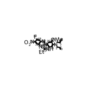 C=CCN(CC=C)c1cc(NC(=O)CC)c(/N=N/c2cc(F)c([N+](=O)[O-])cc2[N+](=O)[O-])cc1OC